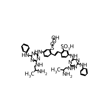 CC(N)CNc1nc(Nc2ccccc2)nc(Nc2ccc(/C=C/c3ccc(Nc4nc(NCC(C)N)nc(Nc5ccccc5)n4)cc3S(=O)(=O)O)c(SOOO)c2)n1